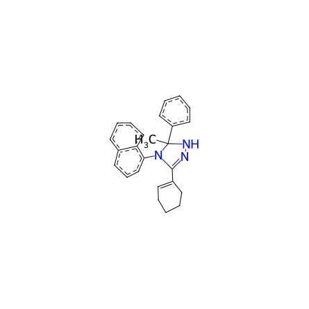 CC1(c2ccccc2)NN=C(C2=CCCCC2)N1c1cccc2ccccc12